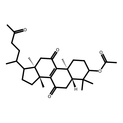 CC(=O)CCC(C)C1CC[C@@]2(C)C3=C(C(=O)C[C@]12C)[C@@]1(C)CCC(OC(C)=O)C(C)(C)[C@@H]1CC3=O